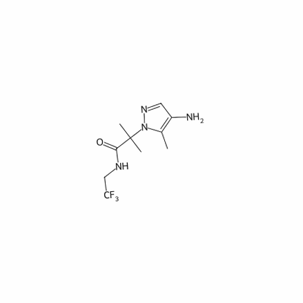 Cc1c(N)cnn1C(C)(C)C(=O)NCC(F)(F)F